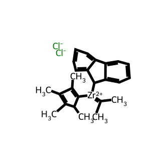 CC1=C(C)C(C)[C]([Zr+2](=[C](C)C)[CH]2c3ccccc3-c3ccccc32)=C1C.[Cl-].[Cl-]